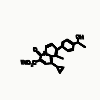 CCOC(=O)c1cc(C2CC2)c2c(C)c(-c3ccc(C(C)O)cc3)ccn2c1=O